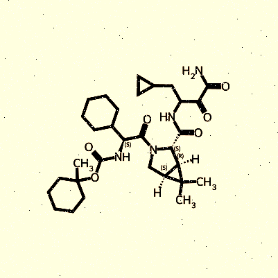 CC1(OC(=O)N[C@H](C(=O)N2C[C@H]3[C@@H]([C@H]2C(=O)NC(CC2CC2)C(=O)C(N)=O)C3(C)C)C2CCCCC2)CCCCC1